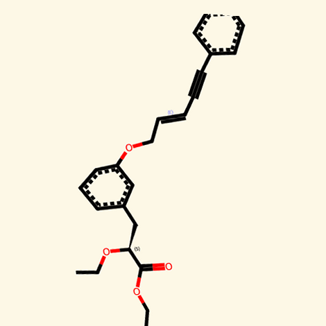 CCOC(=O)[C@H](Cc1cccc(OC/C=C/C#Cc2ccccc2)c1)OCC